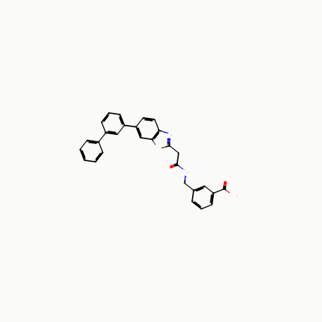 O=C(Cc1nc2ccc(-c3cccc(-c4ccccc4)c3)cc2s1)NCc1cccc(C(=O)O)c1